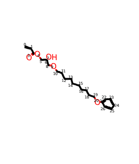 C=CC(=O)OCC(O)COCCCCCCCCCCOc1ccccc1